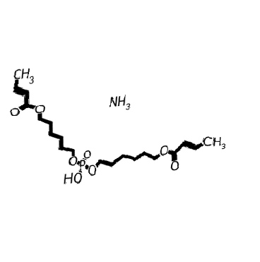 CC=CC(=O)OCCCCCCOP(=O)(O)OCCCCCCOC(=O)C=CC.N